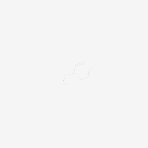 CCN(OC)c1ccncc1